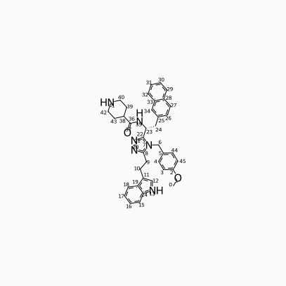 COc1ccc(Cn2c(CCc3c[nH]c4ccccc34)nnc2[C@@H](Cc2ccc3ccccc3c2)NC(=O)C2CCNCC2)cc1